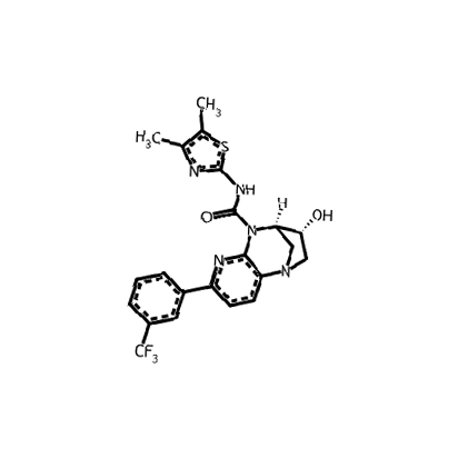 Cc1nc(NC(=O)N2c3nc(-c4cccc(C(F)(F)F)c4)ccc3N3C[C@@H](O)[C@H]2C3)sc1C